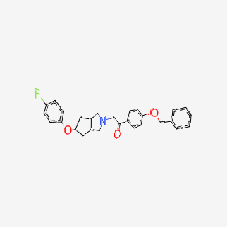 O=C(CN1CC2CC(Oc3ccc(F)cc3)CC2C1)c1ccc(OCc2ccccc2)cc1